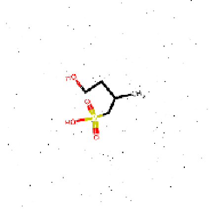 C[C](CCO)CS(=O)(=O)O